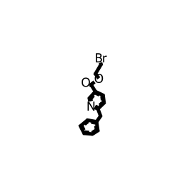 O=C(OCCBr)c1ccc(Cc2ccccc2)nc1